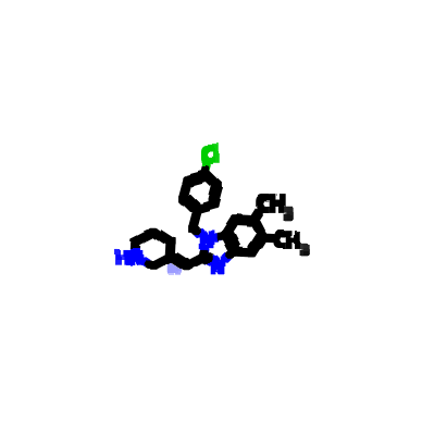 Cc1cc2nc(/C=C3\CCCNC3)n(Cc3ccc(Cl)cc3)c2cc1C